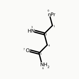 CCCCC(=N)CC(N)=O